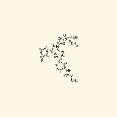 C=CC(=O)Nc1cccc(-c2cnc3c(c2)c(-c2ccnc(F)c2)cn3C(C)OC(=O)[C@@H](N)[C@@H](C)CC)c1